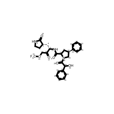 O=C(N[C@@H](C[C@@H]1CCNC1=O)C(=O)COC(F)(F)F)C1C[C@@H](c2ccccc2)CN1C(=O)C(O)c1ccccc1